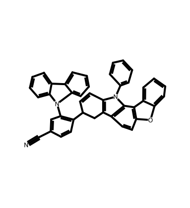 N#Cc1ccc(C2C=Cc3c(c4ccc5oc6ccccc6c5c4n3-c3ccccc3)C2)c(-n2c3ccccc3c3ccccc32)c1